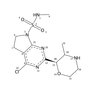 CNS(=O)(=O)N1CCc2c(Cl)nc([C@@H]3OCCNC3C)nc21